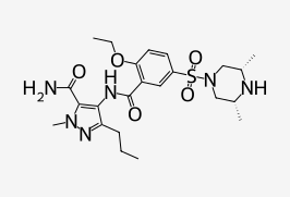 CCCc1nn(C)c(C(N)=O)c1NC(=O)c1cc(S(=O)(=O)N2C[C@@H](C)N[C@@H](C)C2)ccc1OCC